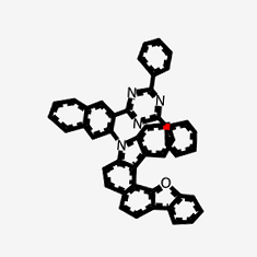 c1ccc(-c2nc(-c3ccccc3)nc(-c3cc4ccccc4cc3-n3c4ccccc4c4c5c(ccc6c7ccccc7oc65)ccc43)n2)cc1